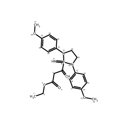 C=C(CC(=O)OCC)P1(=N)N(c2ccc(OC)cc2)CCN1c1ccc(OC)cc1